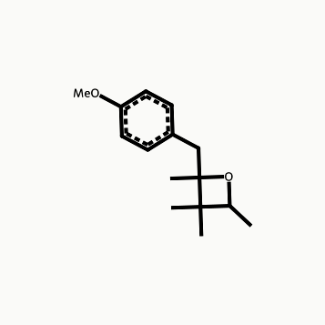 COc1ccc(CC2(C)OC(C)C2(C)C)cc1